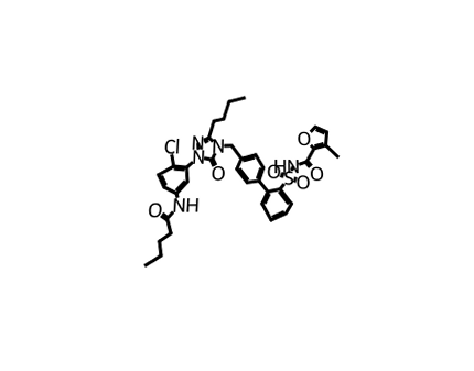 CCCCC(=O)Nc1ccc(Cl)c(-n2nc(CCCC)n(Cc3ccc(-c4ccccc4S(=O)(=O)NC(=O)c4occc4C)cc3)c2=O)c1